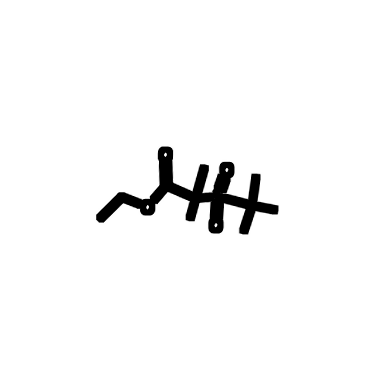 CCOC(=O)C(C)(C)S(=O)(=O)C(C)(C)C